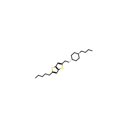 CCCCCc1cc2sc(CC[C@H]3CC[C@H](CCCC)CC3)cc2s1